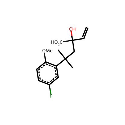 C=CC(O)(CC(C)(C)c1cc(F)ccc1OC)C(=O)O